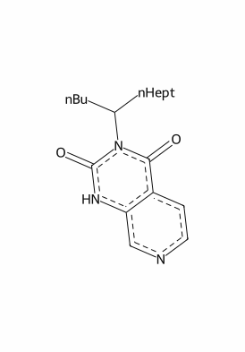 CCCCCCCC(CCCC)n1c(=O)[nH]c2cnccc2c1=O